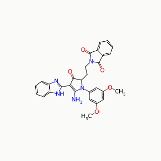 COc1cc(OC)cc(N2C(N)=C(c3nc4ccccc4[nH]3)C(=O)C2CCN2C(=O)c3ccccc3C2=O)c1